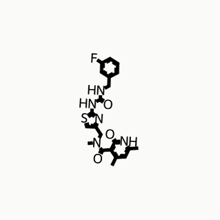 Cc1cc(C)c(C(=O)N(C)Cc2csc(NC(=O)NCc3cccc(F)c3)n2)c(=O)[nH]1